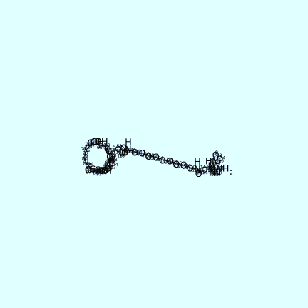 COc1cccc2cc(-c3nc([C@H]4CC[C@H](C(=O)NCCOCCOCCOCCOCCOCCOCCOCCOCCOCCNC(=O)O[C@@H]5CC[C@@H](C[C@@H](C)[C@@H]6CC[C@H](C)/C=C(\C)[C@@H](O)[C@@H](O)C(=O)[C@H](C)C[C@H](C)/C=C/C=C/C=C(\C)[C@@H](OC)C[C@@H]7CC[C@@H](C)[C@@](O)(O7)C(=O)C(=O)N7CCCC[C@H]7C(=O)O6)C[C@H]5OC)CC4)n4ncnc(N)c34)[nH]c12